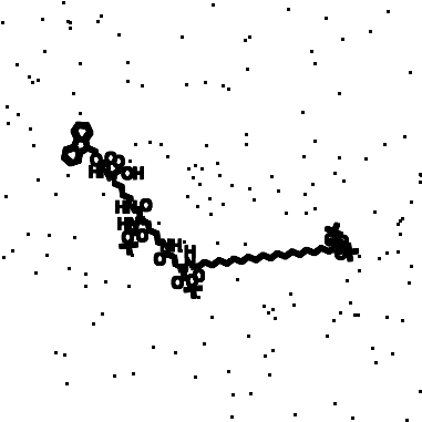 CC(C)(C)OC(=O)N[C@@H](CCCCNC(=O)CC[C@H](NC(=O)CCCCCCCCCCCCCCCCCCP(=O)(OC(C)(C)C)OC(C)(C)C)C(=O)OC(C)(C)C)C(=O)NCCCC[C@H](NC(=O)OCC1c2ccccc2-c2ccccc21)C(=O)O